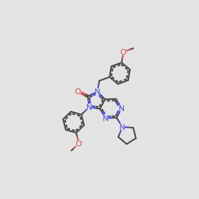 COc1cccc(Cn2c(=O)n(-c3cccc(OC)c3)c3nc(N4CCCC4)ncc32)c1